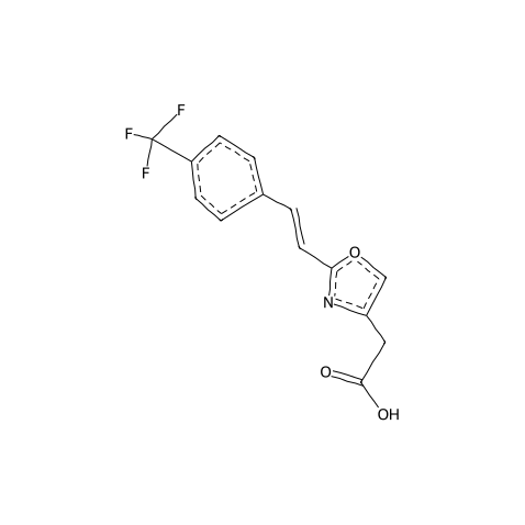 O=C(O)Cc1coc(C=Cc2ccc(C(F)(F)F)cc2)n1